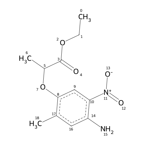 CCOC(=O)C(C)Oc1cc([N+](=O)[O-])c(N)cc1C